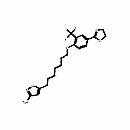 Cc1cc(CCCCCCCOc2ccc(C3=NCCO3)cc2C(F)(F)F)on1